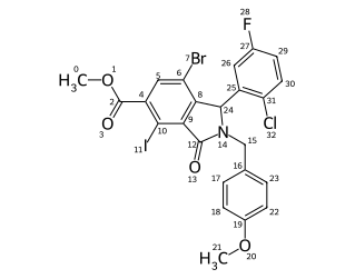 COC(=O)c1cc(Br)c2c(c1I)C(=O)N(Cc1ccc(OC)cc1)C2c1cc(F)ccc1Cl